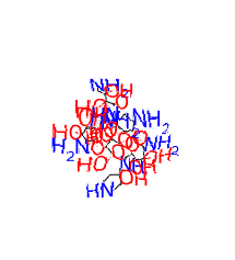 NC[C@@H](O)C(O)C(=O)N[C@@H]1C[C@H](N)[C@@H](O[C@H]2O[C@H](CNCC3(O)CCNCC3)[C@@H](O)[C@H](O)[C@H]2N)[C@H](O[C@@H]2O[C@H](CO)[C@@H](O[C@H]3O[C@@H](CN)[C@@H](O)[C@H](O)[C@H]3N)[C@H]2O)[C@H]1O